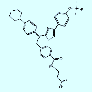 O=C(O)CCNC(=O)c1ccc(CN(c2ccc(C3CCCCC3)cc2)c2nc(-c3ccc(OC(F)(F)F)cc3)cs2)cc1